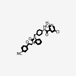 Cc1ncc(Cl)cc1C(=O)N[C@H]1CC[C@H](Cn2c(=O)n(CC(=O)c3ccc(C#N)cc3)c3ccccc32)CC1